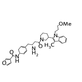 COCCCn1c(C2CCCN(C(=O)C[C@H](N)CC3=CCC(NC(=O)c4ccoc4)C=C3)C2)c(C)c2ccccc21